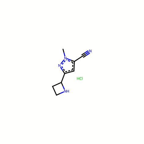 Cl.Cn1nc(C2CCN2)cc1C#N